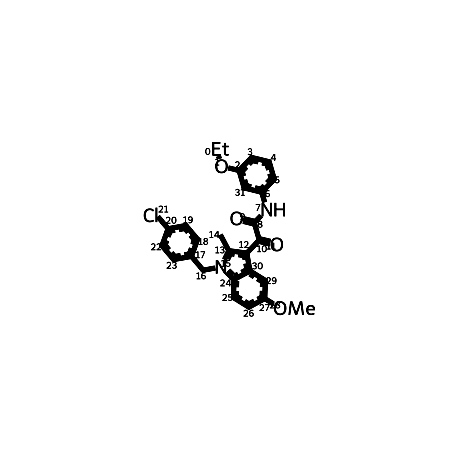 CCOc1cccc(NC(=O)C(=O)c2c(C)n(Cc3ccc(Cl)cc3)c3ccc(OC)cc23)c1